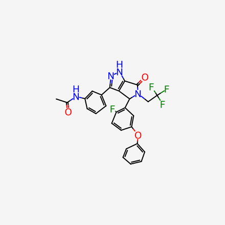 CC(=O)Nc1cccc(-c2n[nH]c3c2C(c2cc(Oc4ccccc4)ccc2F)N(CC(F)(F)F)C3=O)c1